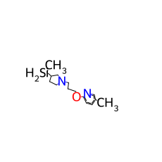 C[SiH2]C1CCN(CCCOc2ccc(C)cn2)C1